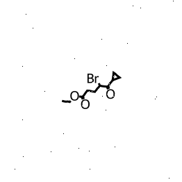 CCOC(=O)CCC(Br)C(=O)C1CC1